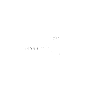 CCCCCN(CCCC)CCCC.[LiH]